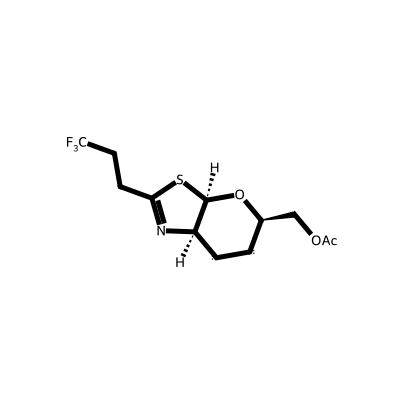 CC(=O)OC[C@H]1[C][C][C@H]2N=C(CCC(F)(F)F)S[C@H]2O1